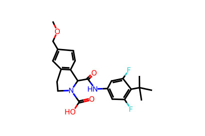 COCc1ccc2c(c1)CCN(C(=O)O)C2C(=O)Nc1cc(F)c(C(C)(C)C)c(F)c1